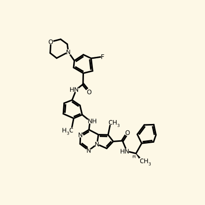 Cc1ccc(NC(=O)c2cc(F)cc(N3CCOCC3)c2)cc1Nc1ncnn2cc(C(=O)N[C@H](C)c3ccccc3)c(C)c12